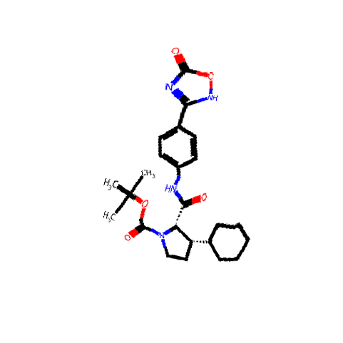 CC(C)(C)OC(=O)N1CC[C@@H](C2CCCCC2)[C@H]1C(=O)Nc1ccc(-c2nc(=O)o[nH]2)cc1